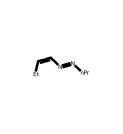 CC/C=C\N=N\CCC